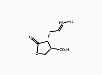 CC[SH]=CC[C@H]1C(=O)OCN1C(=O)O